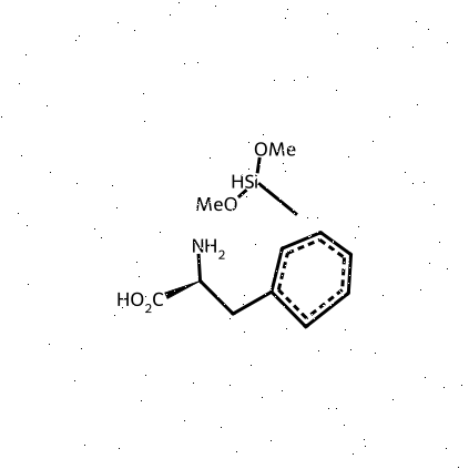 CO[SiH](C)OC.N[C@@H](Cc1ccccc1)C(=O)O